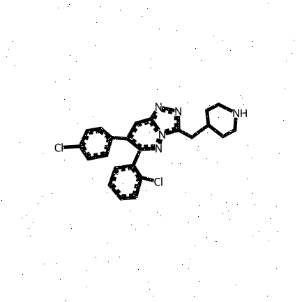 Clc1ccc(-c2cc3nnc(CC4CCNCC4)n3nc2-c2ccccc2Cl)cc1